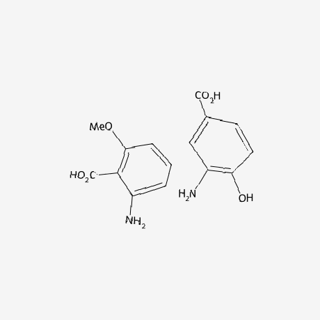 COc1cccc(N)c1C(=O)O.Nc1cc(C(=O)O)ccc1O